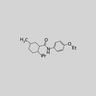 CCOc1ccc(NC(=O)C2CC(C)CCC2C(C)C)cc1